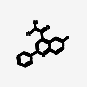 CCN(CC)C(=O)c1cc(-c2ccccc2)nc2ccc(C)cc12